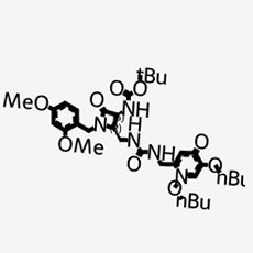 CCCCOc1cn(OCCCC)c(CNC(=O)NC[C@@H]2[C@H](NC(=O)OC(C)(C)C)C(=O)N2Cc2ccc(OC)cc2OC)cc1=O